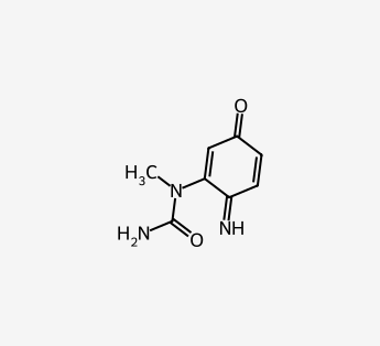 CN(C(N)=O)C1=CC(=O)C=CC1=N